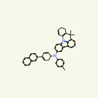 Cc1ccc(N(c2ccc3c(c2)c2cccc4c2n3C2=C(CCC=C2)C4(C)C)C2C=CC(c3ccc4ccccc4c3)=CC2)cc1